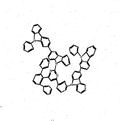 c1ccc(-c2cccc(-c3ccccc3)c2-c2cc(-c3cccc(-n4c5ccccc5c5cc(-c6ccc7c8ccccc8n(-c8ccccc8)c7c6)ccc54)c3)nc(-n3c4ccccc4c4cc(-c5ccc6c7ccccc7n(-c7ccccc7)c6c5)ccc43)n2)cc1